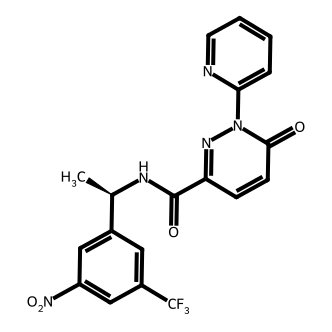 C[C@@H](NC(=O)c1ccc(=O)n(-c2ccccn2)n1)c1cc([N+](=O)[O-])cc(C(F)(F)F)c1